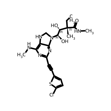 CC[C@](C)(C(=O)NC)[C@@H](O)[C@@H](O)N1CNc2c(NC)nc(C#Cc3ccc(Cl)s3)nc21